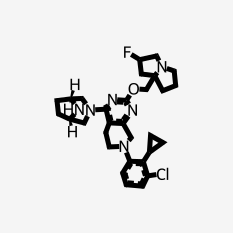 FC1CN2CCCC2(COc2nc3c(c(N4C[C@H]5CC[C@@H](C4)N5)n2)CCN(c2cccc(Cl)c2C2CC2)C3)C1